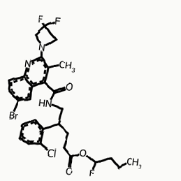 CCCC(F)OC(=O)CCC(CNC(=O)c1c(C)c(N2CC(F)(F)C2)nc2ccc(Br)cc12)c1ccccc1Cl